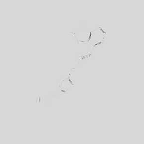 CC(=NOCc1ccc(C(=O)O)s1)c1cccc2c1CC(C)O2